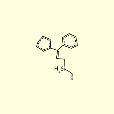 C=C[SiH2]CC=C(c1ccccc1)c1ccccc1